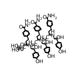 C[C@H](CCc1ccc(C(N)=O)cc1)NC[C@H](O)c1ccc(O)cc1.C[C@H](CCc1ccc(C(N)=O)cc1)NC[C@H](O)c1ccc(O)cc1.C[C@H](CCc1ccc(C(N)=O)cc1)NC[C@H](O)c1ccc(O)cc1.O=P(O)(O)O